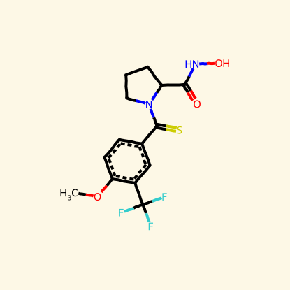 COc1ccc(C(=S)N2CCCC2C(=O)NO)cc1C(F)(F)F